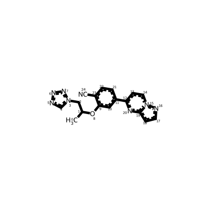 CC(Cn1cnnn1)Oc1cc(-c2ccn3nccc3n2)ccc1C#N